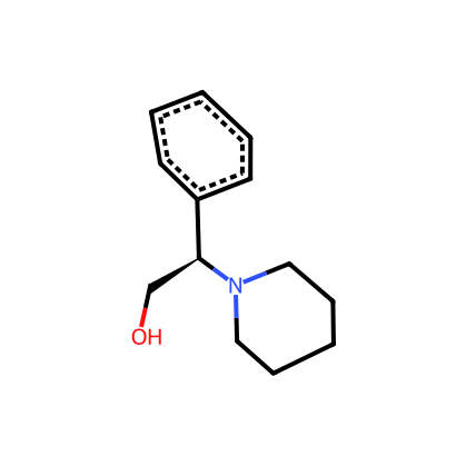 OC[C@@H](c1ccccc1)N1CCCCC1